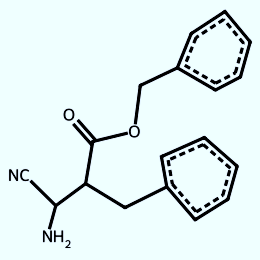 N#CC(N)C(Cc1ccccc1)C(=O)OCc1ccccc1